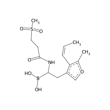 C/C=C\c1c(CC(NC(=O)CCS(C)(=O)=O)B(O)O)coc1C